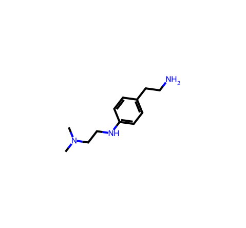 CN(C)CCNc1ccc(CCN)cc1